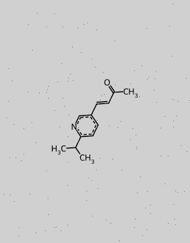 CC(=O)/C=C/c1ccc(C(C)C)nc1